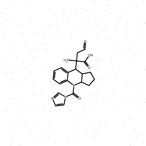 NC(CC=O)(C(=O)O)C1c2ccccc2N(C(=O)n2ccnc2)C2CCCC21